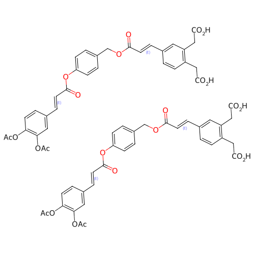 CC(=O)Oc1ccc(/C=C/C(=O)Oc2ccc(COC(=O)/C=C/c3ccc(CC(=O)O)c(CC(=O)O)c3)cc2)cc1OC(C)=O.CC(=O)Oc1ccc(/C=C/C(=O)Oc2ccc(COC(=O)/C=C/c3ccc(CC(=O)O)c(CC(=O)O)c3)cc2)cc1OC(C)=O